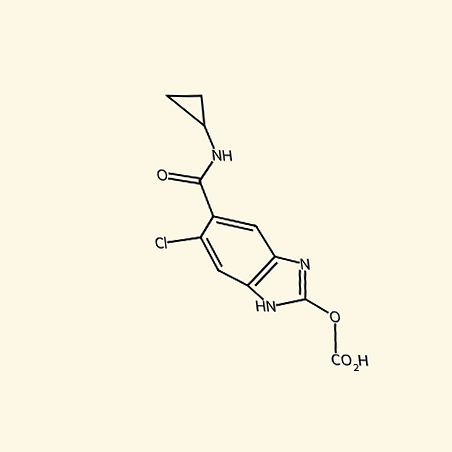 O=C(O)Oc1nc2cc(C(=O)NC3CC3)c(Cl)cc2[nH]1